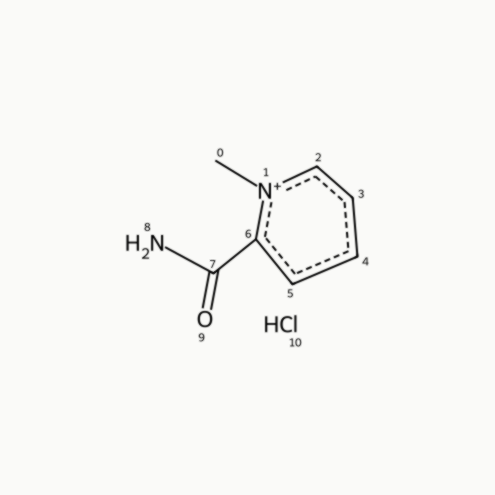 C[n+]1ccccc1C(N)=O.Cl